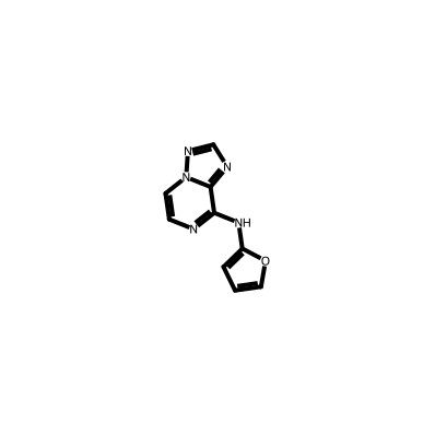 c1coc(Nc2nccn3ncnc23)c1